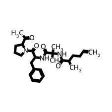 C=CCCC(C)C(=O)NC(C)(C)C(=O)NC(Cc1ccccc1)C(=O)N1CCCC1C(C)=O